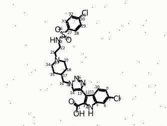 O=C(O)c1[nH]c2cc(Cl)ccc2c1-c1cn(CC2CCN(CCNS(=O)(=O)c3ccc(Cl)cc3)CC2)nn1